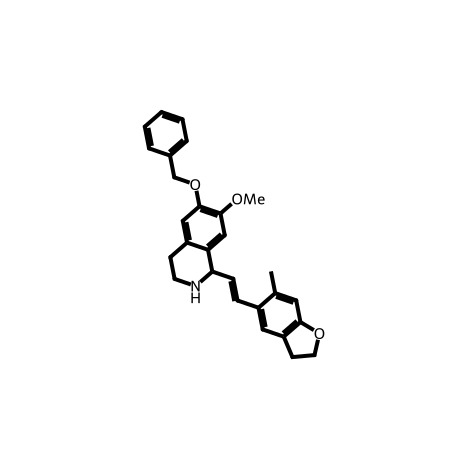 COc1cc2c(cc1OCc1ccccc1)CCNC2C=Cc1cc2c(cc1C)OCC2